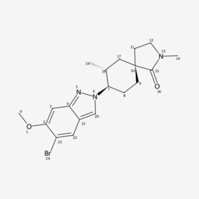 COc1cc2nn([C@@H]3CC[C@]4(CCN(C)C4=O)C[C@H]3C)cc2cc1Br